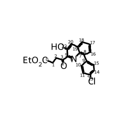 CCOC(=O)CCC(=O)c1nc2c(-c3ccc(Cl)cc3)cccc2cc1O